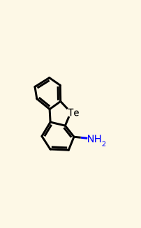 Nc1cccc2c1[te]c1ccccc12